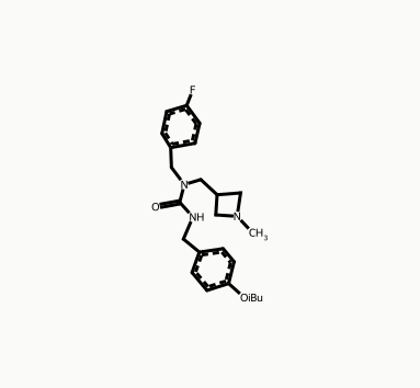 CC(C)COc1ccc(CNC(=O)N(Cc2ccc(F)cc2)CC2CN(C)C2)cc1